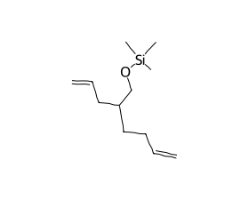 C=CCCC(CC=C)CO[Si](C)(C)C